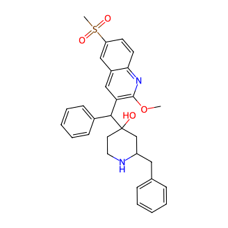 COc1nc2ccc(S(C)(=O)=O)cc2cc1C(c1ccccc1)C1(O)CCNC(Cc2ccccc2)C1